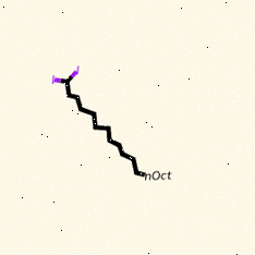 CCCCCCCCCCCCCCCCCCCC(I)I